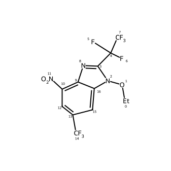 CCOn1c(C(F)(F)C(F)(F)F)nc2c([N+](=O)[O-])cc(C(F)(F)F)cc21